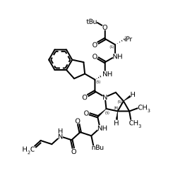 C=CCNC(=O)C(=O)C(CCCC)NC(=O)[C@@H]1[C@@H]2[C@H](CN1C(=O)[C@@H](NC(=O)N[C@H](C(=O)OC(C)(C)C)C(C)C)C1Cc3ccccc3C1)C2(C)C